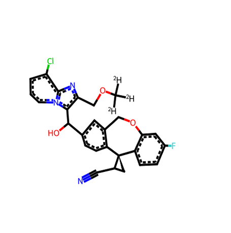 [2H]C([2H])([2H])OCc1nc2c(Cl)cccn2c1C(O)c1ccc2c(c1)COc1cc(F)ccc1[C@@]21CC1C#N